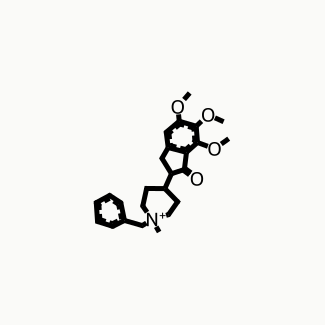 COc1cc2c(c(OC)c1OC)C(=O)C(C1CC[N+](C)(Cc3ccccc3)CC1)C2